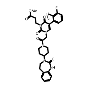 C=C1C(c2cccc(F)c2Cl)=CN(CC(=O)N2CCC(N3CCc4ccccc4NC3=O)CC2)C(=O)N1CCC(=O)OC